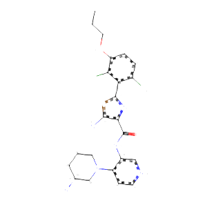 CCCOc1ccc(F)c(-c2nc(C(=O)Nc3cnccc3N3CCC[C@H](N)C3)c(N)s2)c1F